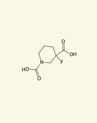 O=C(O)N1CCCC(F)(C(=O)O)C1